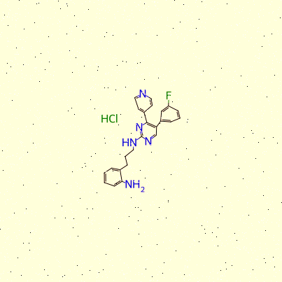 Cl.Nc1ccccc1CCCNc1ncc(-c2cccc(F)c2)c(-c2ccncc2)n1